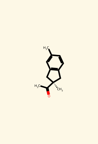 CC(=O)[C@]1(C)Cc2ccc(C)cc2C1